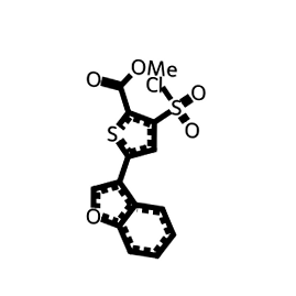 COC(=O)c1sc(-c2coc3ccccc23)cc1S(=O)(=O)Cl